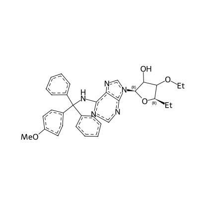 CCOC1C(O)[C@H](n2cnc3c(NC(c4ccccc4)(c4ccccc4)c4ccc(OC)cc4)ncnc32)O[C@@H]1CC